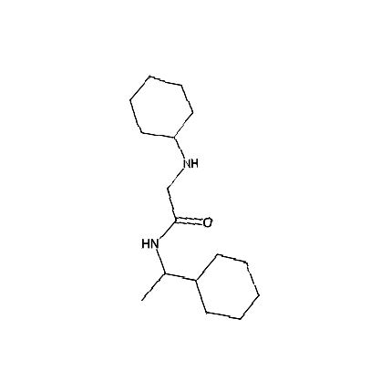 CC(NC(=O)CNC1CCCCC1)C1CCCCC1